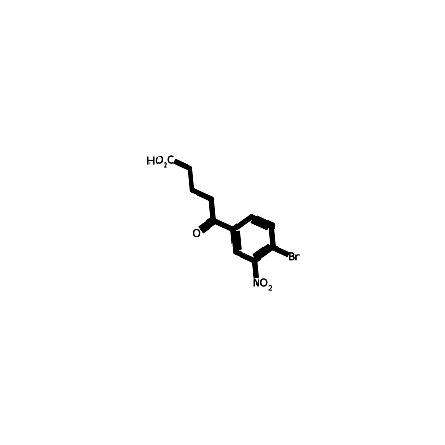 O=C(O)CCCC(=O)c1ccc(Br)c([N+](=O)[O-])c1